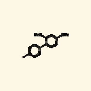 [CH2]c1ccc(-c2ccc(OC)cc2OC)cc1